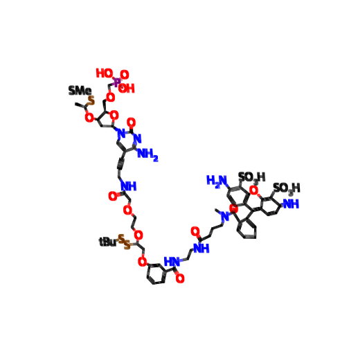 CSS[C@H](C)OC1C[C@H](n2cc(C#CCNC(=O)COCCOC(COc3cccc(C(=O)NCCNC(=O)CCCN(C)C(=O)c4ccccc4-c4c5ccc(=N)c(S(=O)(=O)O)c-5oc5c(S(=O)(=O)O)c(N)ccc45)c3)SSC(C)(C)C)c(N)nc2=O)O[C@@H]1COCP(=O)(O)O